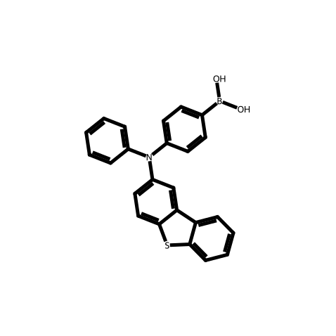 OB(O)c1ccc(N(c2ccccc2)c2ccc3sc4ccccc4c3c2)cc1